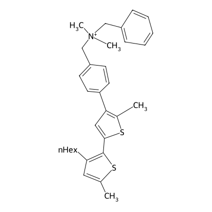 CCCCCCc1cc(C)sc1-c1cc(-c2ccc(C[N+](C)(C)Cc3ccccc3)cc2)c(C)s1